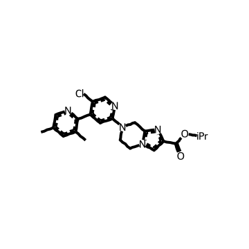 Cc1cnc(-c2cc(N3CCn4cc(C(=O)OC(C)C)nc4C3)ncc2Cl)c(C)c1